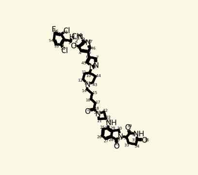 CC(Oc1cc(-c2cnn(C3CCN(CCCCC(=O)N4CC(Nc5cccc6c5CN(C5CCC(=O)NC5=O)C6=O)C4)CC3)c2)cnc1N)c1c(Cl)ccc(F)c1Cl